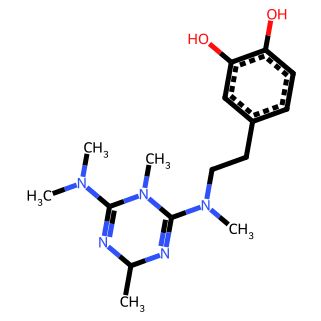 CC1N=C(N(C)C)N(C)C(N(C)CCc2ccc(O)c(O)c2)=N1